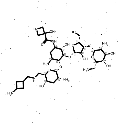 NC[C@@H]1O[C@H](O[C@H]2[C@@H](O)[C@H](O[C@@H]3[C@@H](O)[C@H](NC(=O)C4(O)CNC4)C[C@H](N)[C@H]3O[C@H]3O[C@H](CNCC4CC(N)C4)[C@@H](O)C[C@H]3N)O[C@@H]2CO)[C@H](N)[C@@H](O)[C@@H]1O